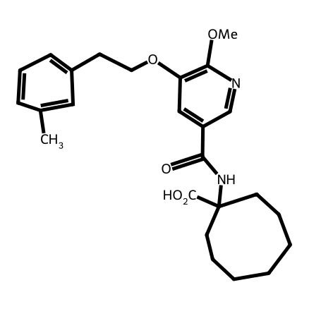 COc1ncc(C(=O)NC2(C(=O)O)CCCCCCC2)cc1OCCc1cccc(C)c1